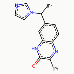 CC(C)c1nc2ccc(C(C(C)C)n3ccnc3)cc2[nH]c1=O